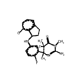 CN1C(=O)C(C)(C)C(C)(c2cc(NC3CCc4cccc(Cl)c43)ccc2F)N=C1N